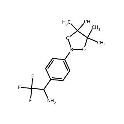 CC1(C)OB(c2ccc(C(N)C(F)(F)F)cc2)OC1(C)C